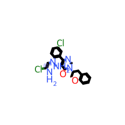 N/C(Cl)=C\N(N)c1ccc(Cl)cc1-c1cc(=O)n(C(C=O)Cc2ccccc2)cn1